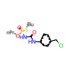 CCCOP(=O)(NC(=O)Nc1ccc(CCl)cc1)SC(C)CC